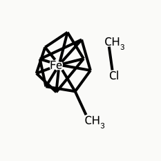 CCl.C[C]12[CH]3[CH]4[CH]5[CH]1[Fe]45321678[CH]2[CH]1[CH]6[CH]7[CH]28